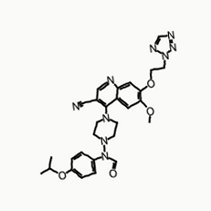 COc1cc2c(N3CCN(N(C=O)c4ccc(OC(C)C)cc4)CC3)c(C#N)cnc2cc1OCCn1ncnn1